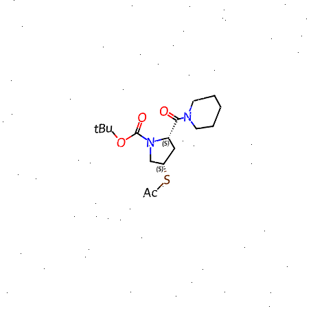 CC(=O)S[C@H]1C[C@@H](C(=O)N2CCCCC2)N(C(=O)OC(C)(C)C)C1